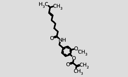 C=C(C)C(=O)Oc1ccc(CNC(=O)CCCC/C=C/C(C)C)cc1OC